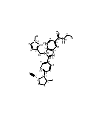 C#C[C@H]1CC[C@H](C)N1c1ccc(-c2nc3cc(C(=O)NCC)cnc3n2Cc2ccn(C)n2)cn1